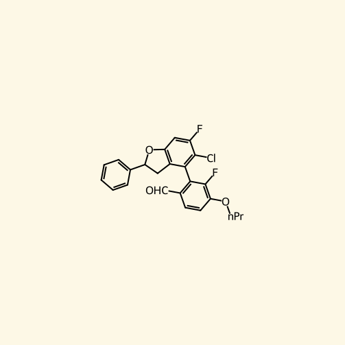 CCCOc1ccc(C=O)c(-c2c(Cl)c(F)cc3c2CC(c2ccccc2)O3)c1F